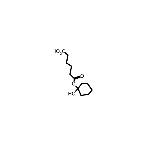 O=C(O)CCCCC(=O)OC1(O)CCCCC1